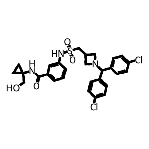 O=C(NC1(CO)CC1)c1cccc(NS(=O)(=O)CC2CN(C(c3ccc(Cl)cc3)c3ccc(Cl)cc3)C2)c1